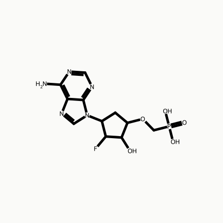 Nc1ncnc2c1ncn2C1CC(OCP(=O)(O)O)C(O)C1F